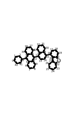 c1ccc(-c2c3ccccc3c(-c3ccc(-c4cccc5oc6ccccc6c45)c4ccccc34)c3ccccc23)cc1